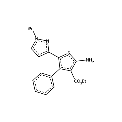 CCOC(=O)c1c(N)sc(-c2ccn(C(C)C)n2)c1-c1ccccc1